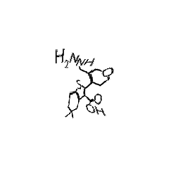 CC1(C)CCc2sc(C3=C(CNN)COCC3)c(C(=O)O)c2C1